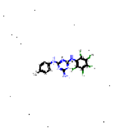 N#Cc1ccc(Nc2nc(N)nc(Nc3c(F)c(F)c(F)c(F)c3F)n2)cc1